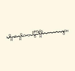 O=C(O)CCCCCCCCCCCCCCC(=O)N[C@@H](CCC(=O)NCCOCCOCC(=O)NCCOCCNC(=O)CI)C(=O)O